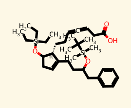 CC[Si](CC)(CC)OC1CC=C(CCC(Cc2ccccc2)O[Si](C)(C)C(C)(C)C)[C@H]1CCC=C=CCC(=O)O